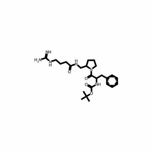 CC(C)(C)OC(=O)NC(Cc1ccccc1)C(=O)N1CCCC1CNC(=O)CCCNC(=N)N